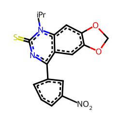 CC(C)n1c(=S)nc(-c2cccc([N+](=O)[O-])c2)c2cc3c(cc21)OCO3